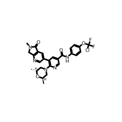 C[C@@H]1CN(c2ncc(C(=O)Nc3ccc(OC(F)(F)Cl)cc3)cc2-c2cnc3c(c2)C(=O)N(C)C3)C[C@@H](C)O1